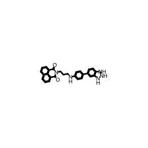 O=C1c2cccc3cccc(c23)C(=O)N1CCCNc1ccc(-c2ccc3c(c2)NNN3)cc1